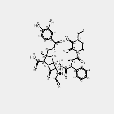 CCN1CCN(C(=O)N[C@@H](C(=O)N[C@]2(NC=O)C(=O)N3C(C(=O)O)[C@](C)(COC(=O)c4ccc(O)c(O)c4)S[C@H]32)c2ccccc2)C(=O)C1=O